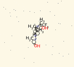 C=C1CC[C@H](O)C/C1=C/C=C1\CCC[C@]2(C)[C@@H]([C@H](C)/C=C/[C@H](C)C(O)(C(F)(F)F)C(F)(F)F)CC[C@@H]12